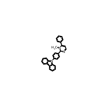 CN1C(c2ccccc2)=CC=NC1c1ccc(-n2c3ccccc3c3ccccc32)cc1